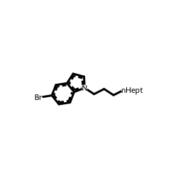 CCCCCCCCCCn1ccc2cc(Br)ccc21